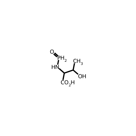 CC(O)C(N[PH2]=O)C(=O)O